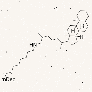 CCCCCCCCCCCCCCCCCCNCC(C)CCC[C@@H](C)[C@H]1CC[C@H]2[C@@H]3CCC4CCCC[C@]4(C)[C@H]3CC[C@]12C